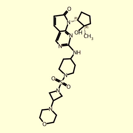 C[C@@]1(O)CCC[C@H]1n1c(=O)ccc2cnc(NC3CCN(S(=O)(=O)N4CC(N5CCOCC5)C4)CC3)nc21